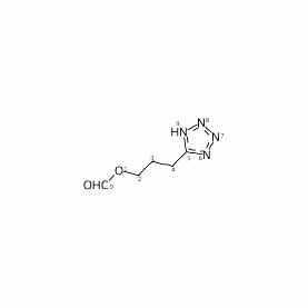 O=COCCCc1nnn[nH]1